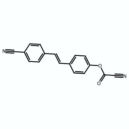 N#CC(=O)Oc1ccc(C=Cc2ccc(C#N)cc2)cc1